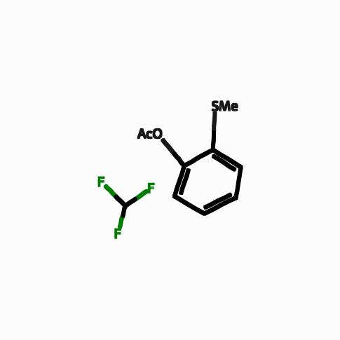 CSc1ccccc1OC(C)=O.FC(F)F